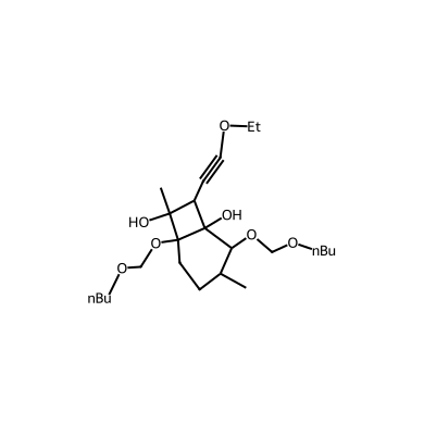 CCCCOCOC1C(C)CCC2(OCOCCCC)C(C)(O)C(C#COCC)C12O